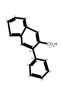 O=C(O)c1cc2ccccc2cc1-c1ccccc1